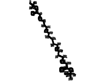 CC(C)(C)OC(=O)COCCCOCCCCCOCCCOCC(=O)OC(C)(C)C